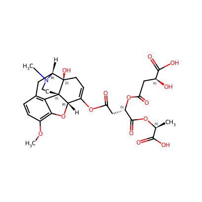 COc1ccc2c3c1O[C@H]1C(OC(=O)C[C@H](OC(=O)C[C@H](O)C(=O)O)C(=O)O[C@@H](C)C(=O)O)=CC[C@@]4(O)[C@@H](C2)N(C)CC[C@]314